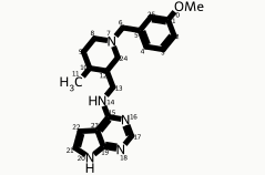 COc1cccc(CN2CCC(C)C(CNc3ncnc4[nH]ccc34)C2)c1